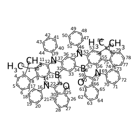 CC1(C)c2ccccc2-c2c1cc1c3c2N(c2ccccc2)c2c(oc4ccccc24)B3c2cc3c(cc2N1c1ccccc1)N(c1ccccc1)c1cc2c(c4c1B3c1oc3ccccc3c1N4c1ccccc1)-c1ccccc1C2(C)C